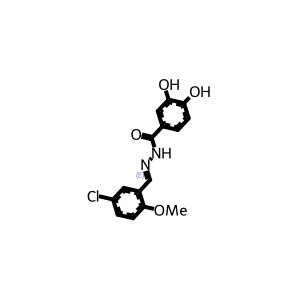 COc1ccc(Cl)cc1/C=N/NC(=O)c1ccc(O)c(O)c1